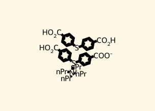 CCC[N+](CCC)(CCC)CCC.O=C(O)c1ccc(Sc2ccc(C(=O)O)cc2)cc1.O=C([O-])c1ccc(Sc2ccc(C(=O)O)cc2)cc1